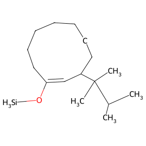 CC(C)C(C)(C)C1C=C(O[SiH3])CCCCCCC1